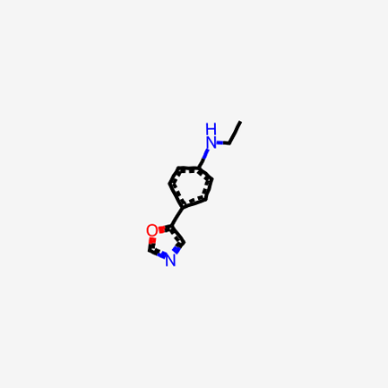 CCNc1ccc(-c2cnco2)cc1